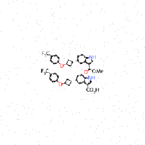 COC(=O)c1c[nH]c2ccc([C@H]3C[C@H](Oc4ccc(C(F)(F)F)cc4)C3)cc12.O=C(O)c1c[nH]c2ccc([C@H]3C[C@H](Oc4ccc(C(F)(F)F)cc4)C3)cc12